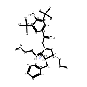 CCC[C@H]1CN(CC(=O)c2cc(C(C)(C)C)c(O)c(C(C)(C)C)c2)/C(=N\CCOC)[C@@H]1Cc1ccccc1